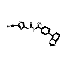 C#Cc1nc(NC(=O)NC(C)c2ccc(-c3cccc4ncsc34)cc2)cs1